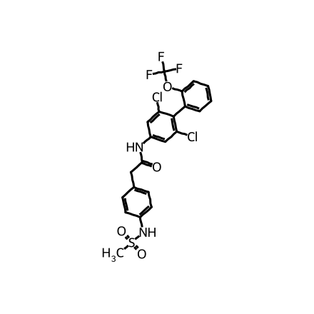 CS(=O)(=O)Nc1ccc(CC(=O)Nc2cc(Cl)c(-c3ccccc3OC(F)(F)F)c(Cl)c2)cc1